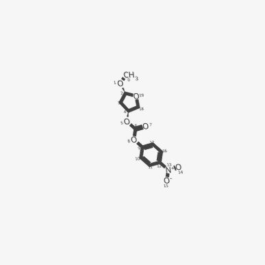 CO[C@H]1C[C@@H](OC(=O)Oc2ccc([N+](=O)[O-])cc2)CO1